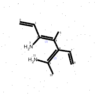 C=C/C(N)=C(C)/C(C=C)=C(/C)N